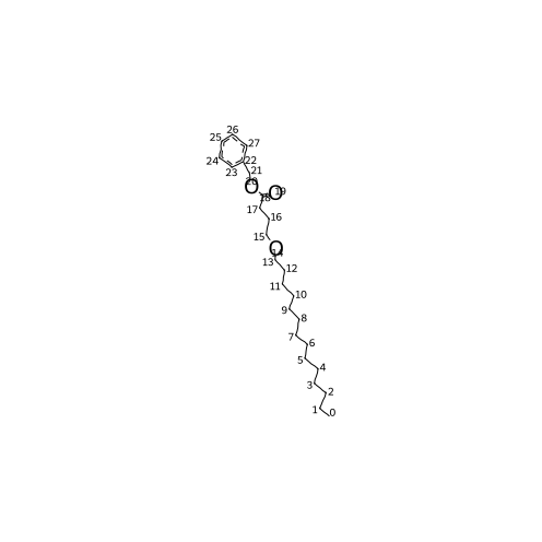 CCCCCCCCCCCCCCOCCCC(=O)OCc1ccccc1